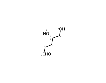 O=CCC[C@H](O)CO